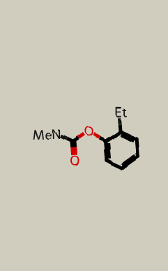 CCc1ccccc1OC(=O)NC